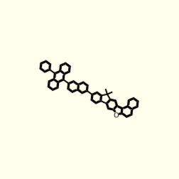 CC1(C)c2cc(-c3ccc4cc(-c5c6ccccc6c(-c6ccccc6)c6ccccc56)ccc4c3)ccc2-c2cc3oc4ccc5ccccc5c4c3cc21